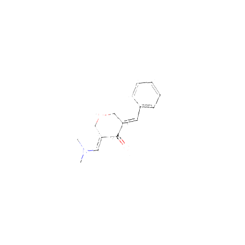 CN(C)C=C1COC/C(=C\c2ccccc2)C1=O